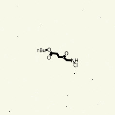 CCCCOC(=O)CCC(=O)CNCl